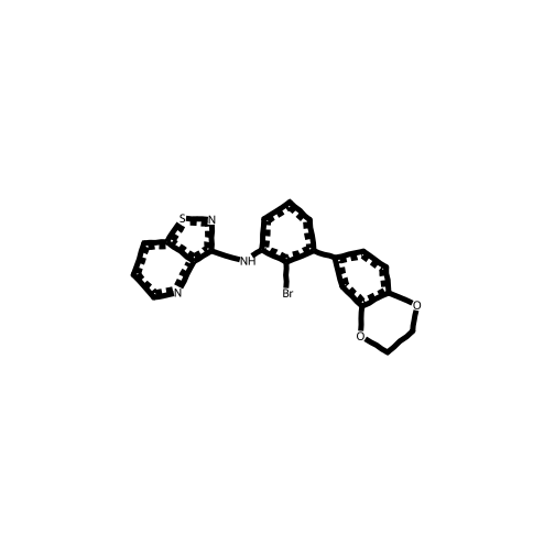 Brc1c(Nc2nsc3cccnc23)cccc1-c1ccc2c(c1)OCCO2